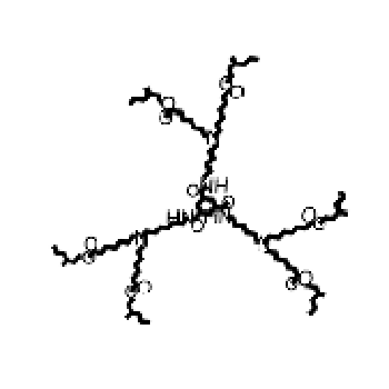 CCCC(C)CCOC(=O)CCCCCCN(CCCCCCNC(=O)C1CC(C(=O)NCCCCCCN(CCCCCCC(=O)OCCC(C)CCC)CCCCCCC(=O)OCCC(C)CCC)CC(C(=O)NCCCCCCN(CCCCCCC(=O)OCCC(C)CCC)CCCCCCC(=O)OCCC(C)CCC)C1)CCCCCCC(=O)OCCC(C)CCC